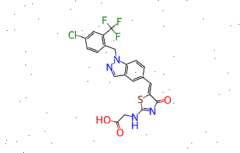 O=C(O)CNC1=NC(=O)C(=Cc2ccc3c(cnn3Cc3ccc(Cl)cc3C(F)(F)F)c2)S1